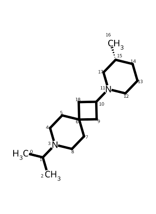 CC(C)N1CCC2(CC1)CC(N1CCC[C@@H](C)C1)C2